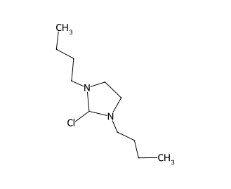 CCCCN1CCN(CCCC)C1Cl